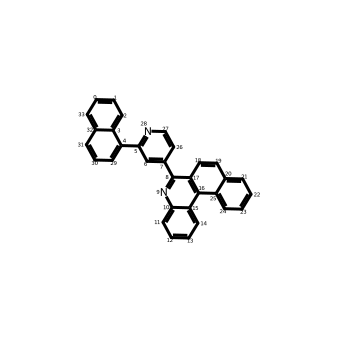 c1ccc2c(-c3cc(-c4nc5ccccc5c5c4ccc4ccccc45)ccn3)cccc2c1